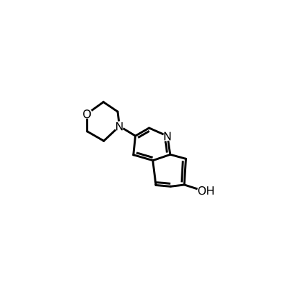 Oc1ccc2cc(N3CCOCC3)cnc2c1